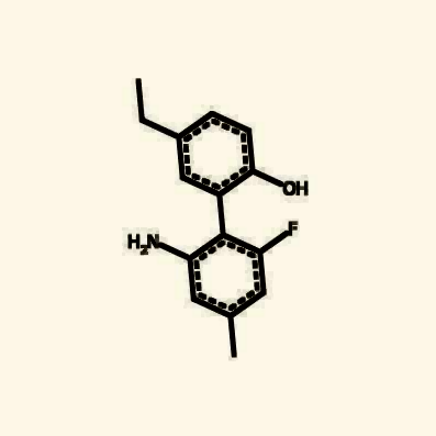 CCc1ccc(O)c(-c2c(N)cc(C)cc2F)c1